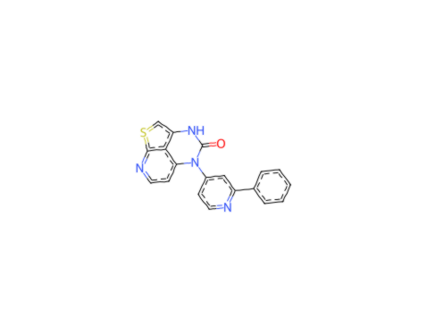 O=C1Nc2csc3nccc(c23)N1c1ccnc(-c2ccccc2)c1